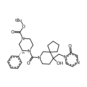 CC(C)(C)OC(=O)N1CCN(C(=O)N2CCC(O)(Cn3ccncc3=O)C3(CCCC3)C2)[C@H](c2ccccc2)C1